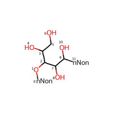 CCCCCCCCCOC(C(O)CO)C(O)C(O)CCCCCCCCC